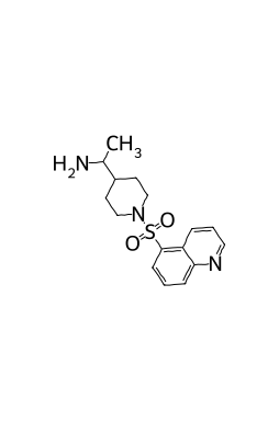 CC(N)C1CCN(S(=O)(=O)c2cccc3ncccc23)CC1